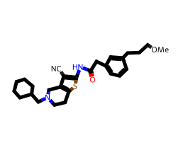 COCCCc1cccc(CC(=O)Nc2sc3c(c2C#N)CN(CC2CCCCC2)CC3)c1